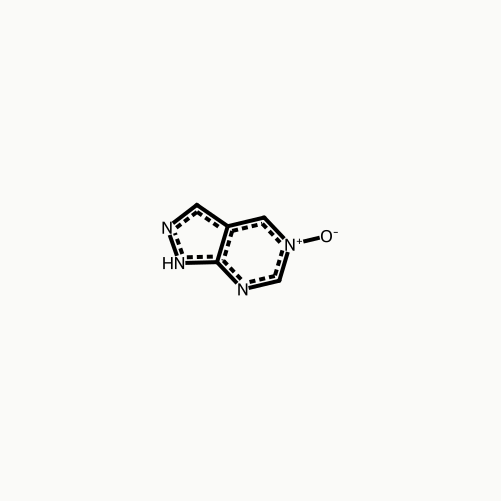 [O-][n+]1cnc2[nH]ncc2c1